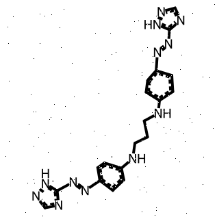 c1n[nH]c(N=Nc2ccc(NCCCNc3ccc(N=Nc4ncn[nH]4)cc3)cc2)n1